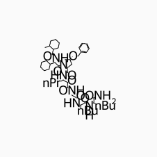 CCCCC(NC(=O)C(CCCC)NC(=O)CNC(=O)C(=O)C(CCC)NC(=O)[C@@H]1C[C@@H](OCc2ccccc2)CN1C(=O)C(NC(=O)C1CCCCC1C)C1CCCCC1)C(N)=O